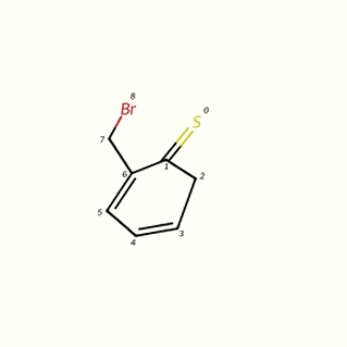 S=C1CC=CC=C1CBr